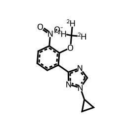 [2H]C([2H])([2H])Oc1c(-c2ncn(C3CC3)n2)cccc1[N+](=O)[O-]